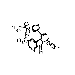 COC1=CC=C(c2cccc(NC(C)=O)c2)C2c3cc(C)cnc3NC12